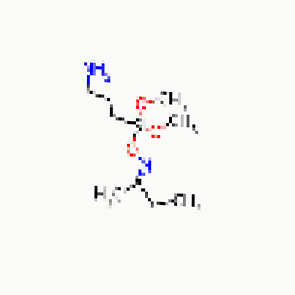 CCC(C)=NO[Si](CCCN)(OC)OC